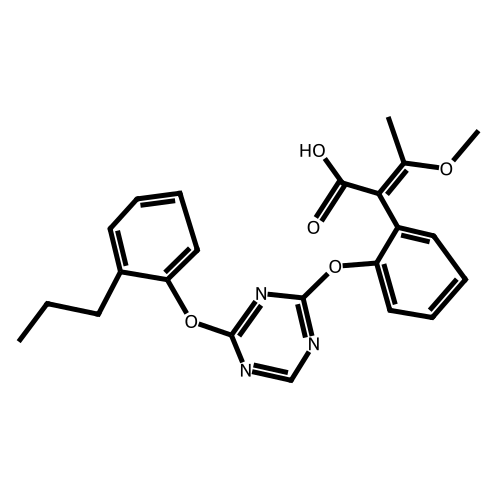 CCCc1ccccc1Oc1ncnc(Oc2ccccc2C(C(=O)O)=C(C)OC)n1